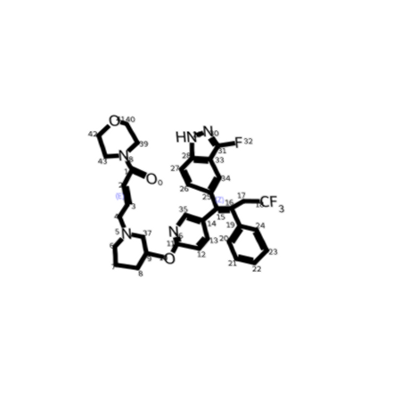 O=C(/C=C/CN1CCCC(Oc2ccc(/C(=C(/CC(F)(F)F)c3ccccc3)c3ccc4[nH]nc(F)c4c3)cn2)C1)N1CCOCC1